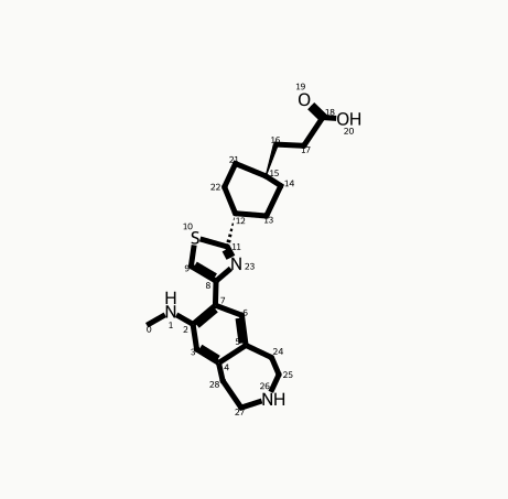 CNc1cc2c(cc1-c1csc([C@H]3CC[C@H](CCC(=O)O)CC3)n1)CCNCC2